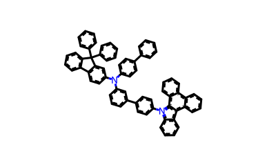 c1ccc(-c2ccc(N(c3cccc(-c4ccc(-n5c6ccccc6c6c7ccccc7c7ccccc7c65)cc4)c3)c3ccc4c(c3)C(c3ccccc3)(c3ccccc3)c3ccccc3-4)cc2)cc1